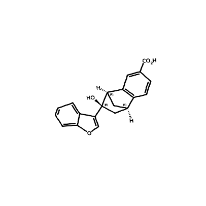 O=C(O)c1ccc2c(c1)[C@H]1C[C@@H]2C[C@]1(O)c1coc2ccccc12